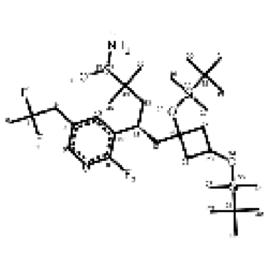 CC(F)(F)Cc1cnc(F)c([C@H](CC2(O[Si](C)(C)C(C)(C)C)CC(O[Si](C)(C)C(C)(C)C)C2)CC(C)(C)[S+](N)[O-])c1